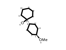 CO[C@H]1CC[C@H](C2([O])CCCCC2)CC1